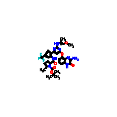 COC[C@H](C)Nc1nc(Oc2cccc3[nH]c(=O)c(N)nc23)cc(-c2ccc(C(F)(F)F)cc2NC(=O)C2CCC(C)N2C(=O)OC(C)(C)C)n1